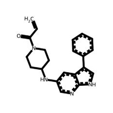 C=CC(=O)N1CCC(Nc2cnc3[nH]cc(-c4ccccc4)c3c2)CC1